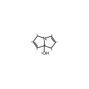 OC12C=CCN1C=CC2